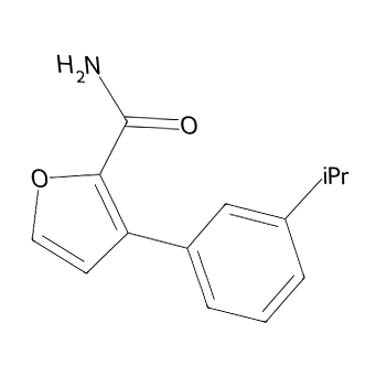 CC(C)c1cccc(-c2ccoc2C(N)=O)c1